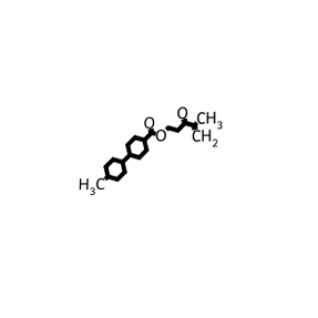 C=C(C)C(=O)CCOC(=O)C1CCC(C2CCC(C)CC2)CC1